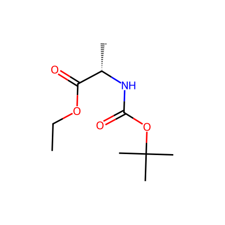 [CH2][C@H](NC(=O)OC(C)(C)C)C(=O)OCC